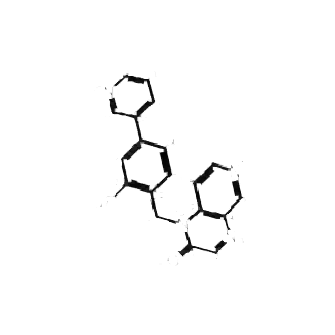 O=c1cnc2cnccc2n1Cc1ccc(-c2cccnc2)cc1F